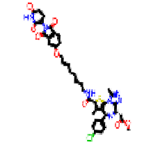 COC(=O)C[C@@H]1N=C(c2ccc(Cl)cc2)c2c(sc(C(=O)NCCCCCCCCOc3ccc4c(c3)C(=O)N(C3CCC(=O)NC3=O)C4=O)c2C)-n2c(C)nnc21